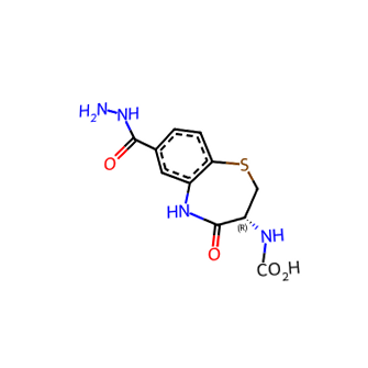 NNC(=O)c1ccc2c(c1)NC(=O)[C@@H](NC(=O)O)CS2